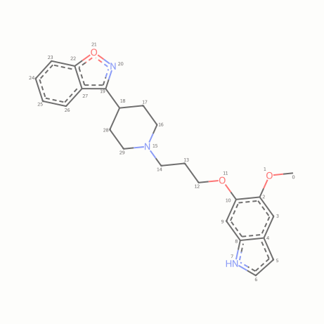 COc1cc2cc[nH]c2cc1OCCCN1CCC(c2noc3ccccc23)CC1